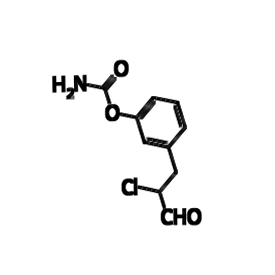 NC(=O)Oc1cccc(CC(Cl)C=O)c1